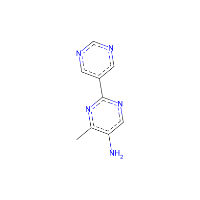 Cc1nc(-c2cncnc2)ncc1N